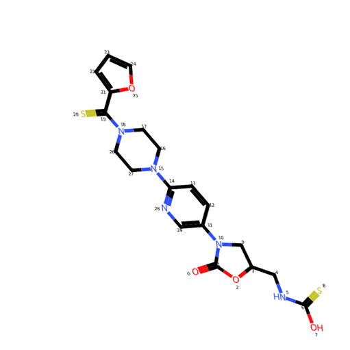 O=C1OC(CNC(O)=S)CN1c1ccc(N2CCN(C(=S)c3ccco3)CC2)nc1